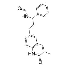 Cc1cc2cc(CCC(NC=O)c3ccccc3)ccc2[nH]c1=O